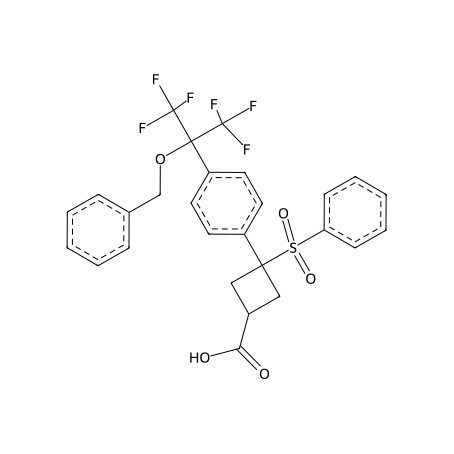 O=C(O)C1CC(c2ccc(C(OCc3ccccc3)(C(F)(F)F)C(F)(F)F)cc2)(S(=O)(=O)c2ccccc2)C1